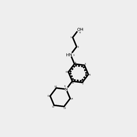 OCCNc1cc[c]c(N2CCCCC2)c1